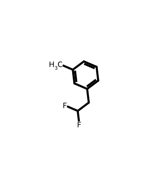 Cc1cccc(CC(F)F)c1